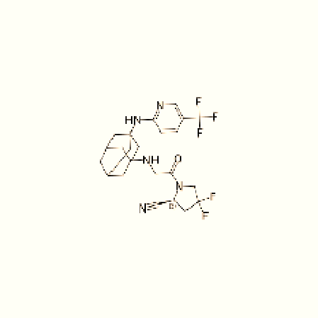 N#C[C@@H]1CC(F)(F)CN1C(=O)CNC12CC3CC(C1)CC(Nc1ccc(C(F)(F)F)cn1)(C3)C2